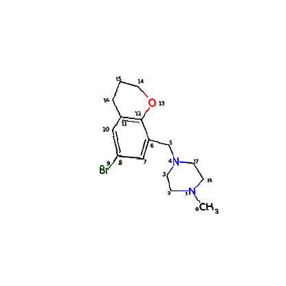 CN1CCN(Cc2cc(Br)cc3c2OCCC3)CC1